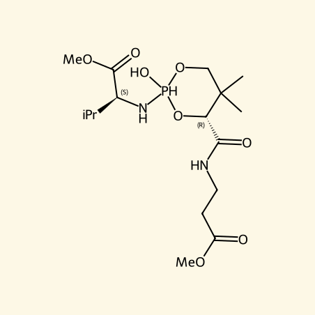 COC(=O)CCNC(=O)[C@@H]1O[PH](O)(N[C@H](C(=O)OC)C(C)C)OCC1(C)C